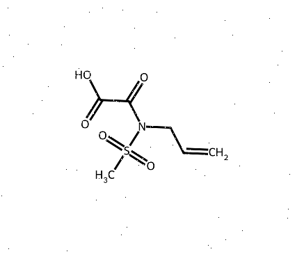 C=CCN(C(=O)C(=O)O)S(C)(=O)=O